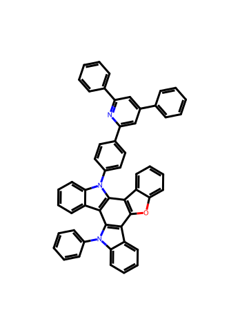 c1ccc(-c2cc(-c3ccccc3)nc(-c3ccc(-n4c5ccccc5c5c6c(c7ccccc7n6-c6ccccc6)c6oc7ccccc7c6c54)cc3)c2)cc1